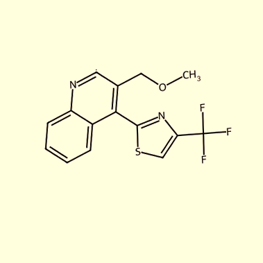 COCc1[c]nc2ccccc2c1-c1nc(C(F)(F)F)cs1